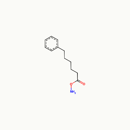 NOC(=O)CCCCCc1ccccc1